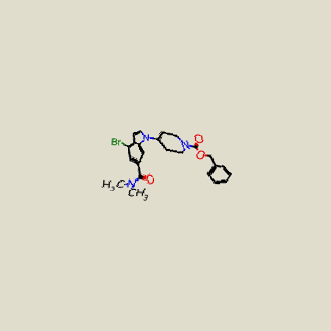 CN(C)C(=O)c1cc(Br)c2ccn(C3CCN(C(=O)OCc4ccccc4)CC3)c2c1